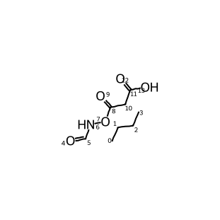 CCCC.O=CNOC(=O)CC(=O)O